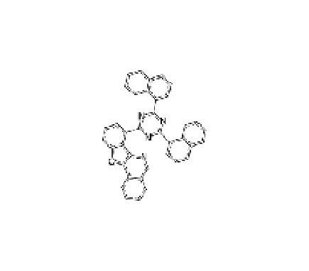 c1ccc2c(-c3nc(-c4cccc5ccccc45)nc(-c4cccc5oc6c7ccccc7cnc6c45)n3)cccc2c1